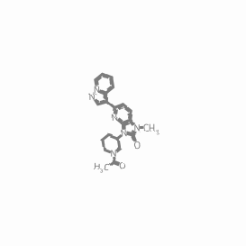 CC(=O)N1CCCC(n2c(=O)n(C)c3ccc(-c4cnn5ccccc45)nc32)C1